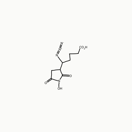 [N-]=[N+]=NC(CCCC(=O)O)C1CC(=O)N(O)C1=O